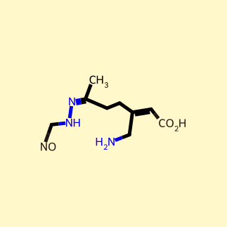 C/C(CC/C(=C/C(=O)O)CN)=N/NCN=O